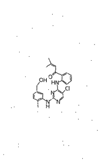 CC(C)=CC(=O)c1ccccc1Nc1nc(Nc2cc(CO)ccc2C)ncc1Cl